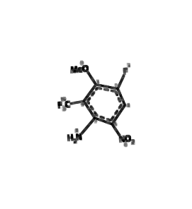 COc1c(F)cc([N+](=O)[O-])c(N)c1C(F)(F)F